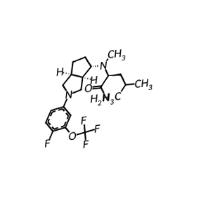 CC(C)C[C@@H](C(N)=O)N(C)[C@H]1CC[C@@H]2CN(c3ccc(F)c(OC(F)(F)F)c3)C[C@@H]21